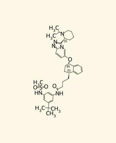 CC(C)N1CCCC[C@H]1c1nnc2ccc(O[C@@H]3CC[C@H](CCCC(=O)Nc4cc(NS(C)(=O)=O)cc(C(C)(C)C)c4)c4ccccc43)cn12